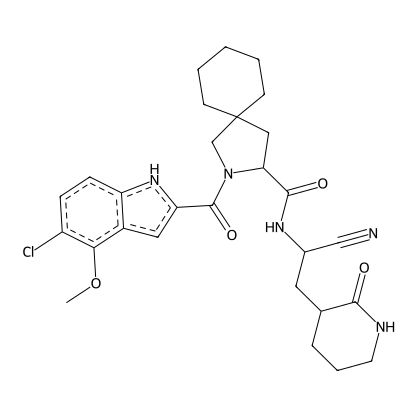 COc1c(Cl)ccc2[nH]c(C(=O)N3CC4(CCCCC4)CC3C(=O)NC(C#N)CC3CCCNC3=O)cc12